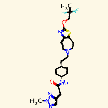 Cn1ncc(CC(=O)N[C@H]2CC[C@H](CCN3CCc4nc(OCC(C)(F)F)sc4CC3)CC2)n1